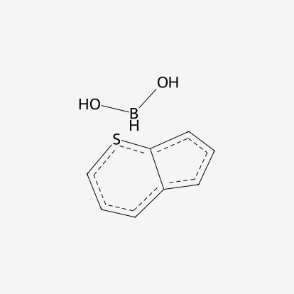 OBO.c1csc2cccc-2c1